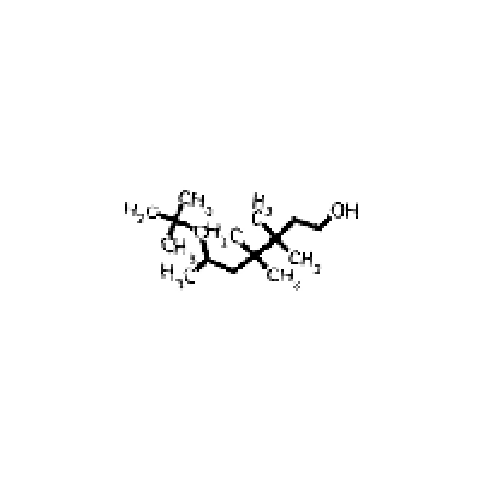 CC(CC(C)(C)C(C)(C)CCO)OC(C)(C)C